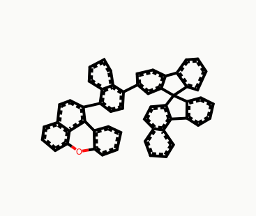 c1ccc2c(c1)Oc1cccc3ccc(-c4ccc(-c5ccc6c(c5)C5(c7ccccc7-6)c6ccccc6-c6c5ccc5ccccc65)c5ccccc45)c-2c13